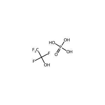 O=P(O)(O)O.OC(F)(F)C(F)(F)F